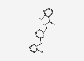 Nc1ncccc1C(=O)NCc1cccc(Oc2ccccc2Br)c1